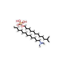 CC(C)CCCCCCCCCCOP(=O)(O)O.CCCCCCCCCCCCN(C)C